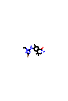 CCn1nc(Br)nc1Nc1cc2c(cc1C)C(=O)NCC2(C)C